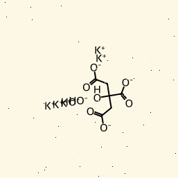 O=C([O-])CC(O)(CC(=O)[O-])C(=O)[O-].[K+].[K+].[K+].[K+].[K+].[OH-].[OH-]